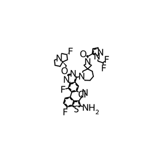 N#Cc1c(N)sc2c(F)ccc(-c3c(Cl)cc4c(N5CCCCC6(CN(C(=O)c7ccnn7CC(F)F)C6)C5)nc(OC[C@@]56CCCN5C[C@H](F)C6)nc4c3F)c12